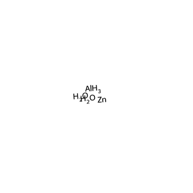 O.O.[AlH3].[Zn]